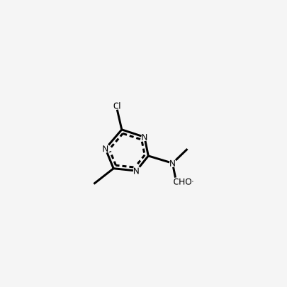 Cc1nc(Cl)nc(N(C)[C]=O)n1